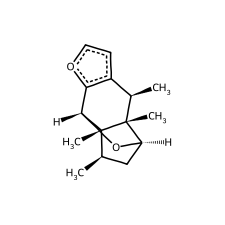 C[C@@H]1C[C@H]2O[C@@H]3c4occc4[C@@H](C)[C@@]2(C)[C@]13C